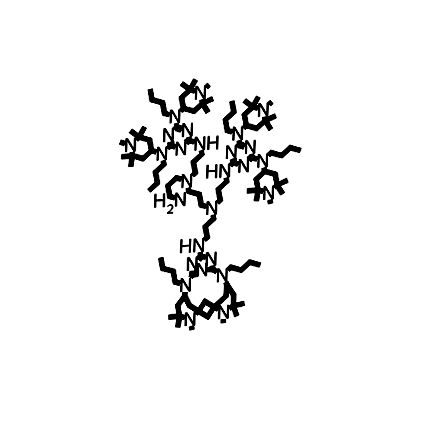 CCCCN(c1nc(NCCCN(CCCN)CCCN(CCCNc2nc(N(CCCC)C3CC(C)(C)N(C)C(C)(C)C3)nc(N(CCCC)C3CC(C)(C)N(C)C(C)(C)C3)n2)CCCNc2nc3nc(n2)N(CCCC)C2CC(C)(C)N(C)C4(C2)CC2(CC(CC(C)(C)N2C)N3CCCC)C4)nc(N(CCCC)C2CC(C)(C)N(C)C(C)(C)C2)n1)C1CC(C)(C)N(C)C(C)(C)C1